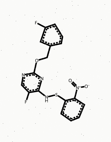 O=[N+]([O-])c1ccccc1SNc1nc(OCc2cccc(F)c2)ncc1F